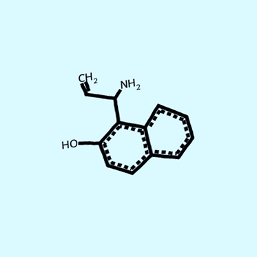 C=CC(N)c1c(O)ccc2ccccc12